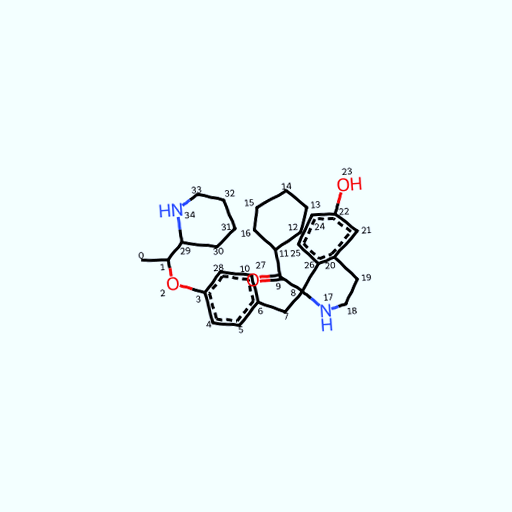 CC(Oc1ccc(CC2(C(=O)C3CCCCC3)NCCc3cc(O)ccc32)cc1)C1CCCCN1